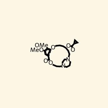 COc1cc2cc(c1OC)OCCCC(OC(=O)C1CC1)CCN1CCCN(CCCOC2=O)CC1